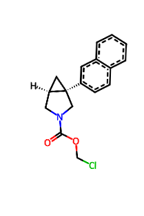 O=C(OCCl)N1C[C@H]2C[C@@]2(c2ccc3ccccc3c2)C1